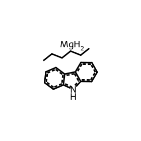 CCCCCC.[MgH2].c1ccc2c(c1)[nH]c1ccccc12